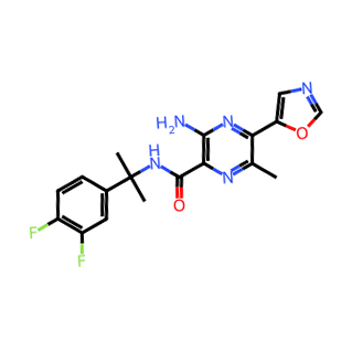 Cc1nc(C(=O)NC(C)(C)c2ccc(F)c(F)c2)c(N)nc1-c1cnco1